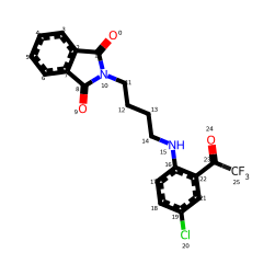 O=C1c2ccccc2C(=O)N1CCCCNc1ccc(Cl)cc1C(=O)C(F)(F)F